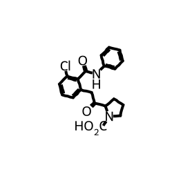 O=C(Nc1ccccc1)c1c(Cl)cccc1CC(=O)C1CCCN1C(=O)O